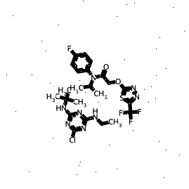 CC(C)N(C(=O)COc1nnc(C(F)(F)F)s1)c1ccc(F)cc1.CCNc1nc(Cl)nc(NC(C)(C)C)n1